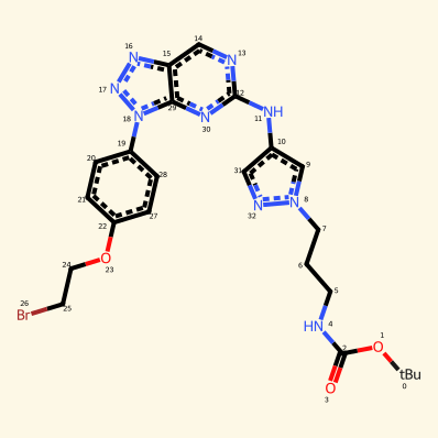 CC(C)(C)OC(=O)NCCCn1cc(Nc2ncc3nnn(-c4ccc(OCCBr)cc4)c3n2)cn1